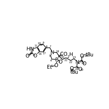 CCOP1(=O)CCN(Cc2ccc3[nH]c(=O)oc3c2)CC1(CCCCN(C(=O)OC(C)(C)C)C(=O)OC(C)(C)C)C(=O)O